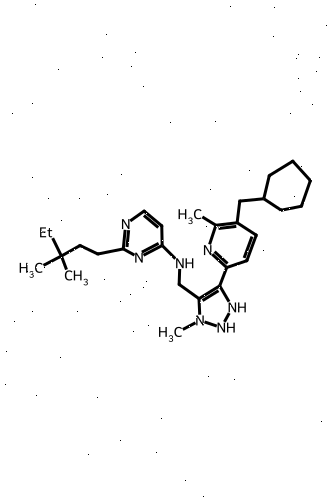 CCC(C)(C)CCc1nccc(NCC2=C(c3ccc(CC4CCCCC4)c(C)n3)NNN2C)n1